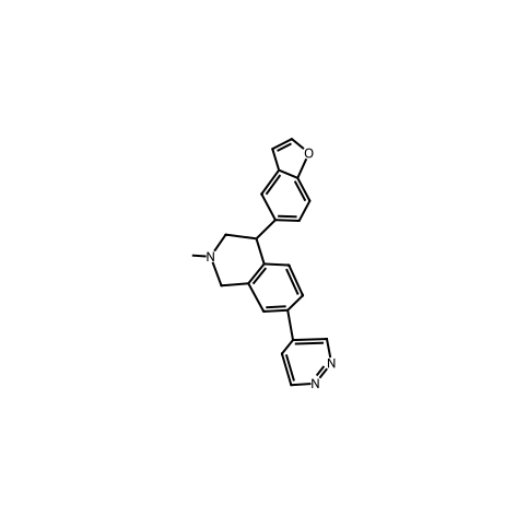 CN1Cc2cc(-c3ccnnc3)ccc2C(c2ccc3occc3c2)C1